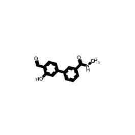 CNC(=O)c1cccc(-c2ccc(C=O)c(O)c2)c1